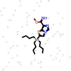 CCC[CH2][Sn]([CH2]CCC)([CH2]CCC)[c]1cn2cnc(C(=N)OC)c2s1